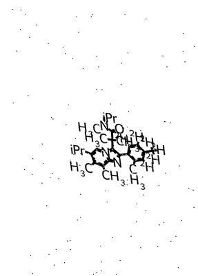 [2H]c1c([2H])c(C([2H])([2H])[2H])c([2H])c(C)c1-c1nc2c(C)c(C)c(C(C)C)cn2c1C(C)(C)C(=O)N(C)C(C)C